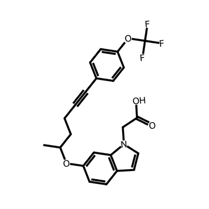 CC(CCC#Cc1ccc(OC(F)(F)F)cc1)Oc1ccc2ccn(CC(=O)O)c2c1